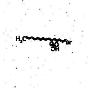 CCCCCCCCCCC(CCCCCBr)OC(=O)O